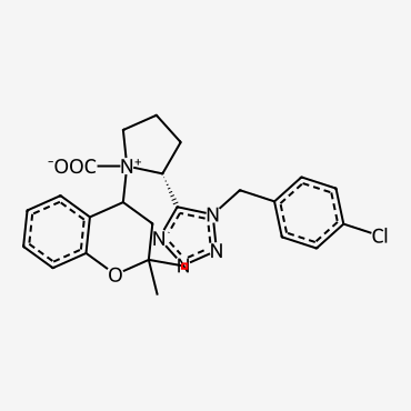 CC1(C)CC([N+]2(C(=O)[O-])CCC[C@@H]2c2nnnn2Cc2ccc(Cl)cc2)c2ccccc2O1